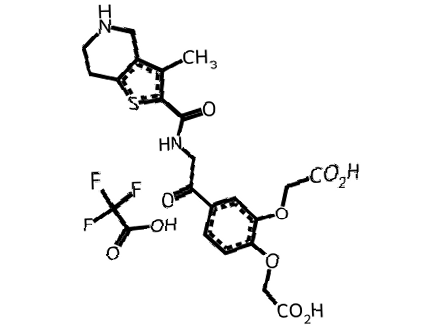 Cc1c(C(=O)NCC(=O)c2ccc(OCC(=O)O)c(OCC(=O)O)c2)sc2c1CNCC2.O=C(O)C(F)(F)F